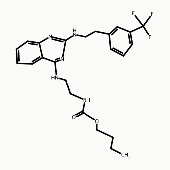 CCCCOC(=O)NCCNc1nc(NCCc2cccc(C(F)(F)F)c2)nc2ccccc12